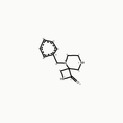 O=C1NCC12CNCCN2Cc1ccccc1